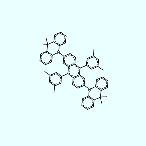 Cc1cc(C)cc(-c2c3ccc(N4c5ccccc5C(C)(C)c5ccccc54)cc3c(-c3cc(C)cc(C)c3)c3ccc(N4c5ccccc5C(C)(C)c5ccccc54)cc23)c1